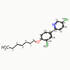 CCCCCCCOc1ccc(-c2ccc(Br)cn2)cc1F